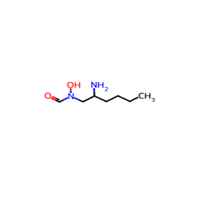 CCCCC(N)CN(O)C=O